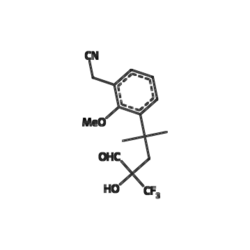 COc1c(CC#N)cccc1C(C)(C)CC(O)(C=O)C(F)(F)F